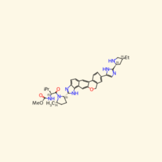 CC[C@@H]1CN[C@H](c2ncc(-c3ccc4c(c3)COc3cc5c(ccc6nc([C@@H]7CC[C@H](C)N7C(=O)[C@@H](NC(=O)OC)C(C)C)[nH]c65)cc3-4)[nH]2)C1